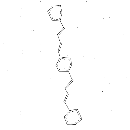 C(C=Cc1ccc(C=CC=Cc2ccccc2)cc1)=Cc1ccccc1